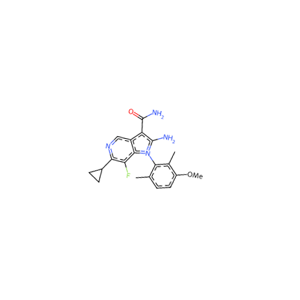 COc1ccc(C)c(-n2c(N)c(C(N)=O)c3cnc(C4CC4)c(F)c32)c1C